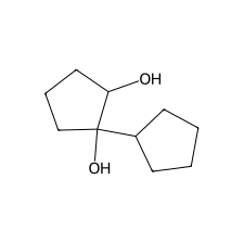 OC1CCCC1(O)C1CCCC1